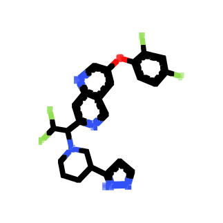 Fc1ccc(Oc2cnc3cc(C(C(F)F)N4CCCC(c5ccn[nH]5)C4)ncc3c2)c(F)c1